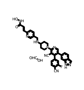 N#Cc1ccc(-c2c(-c3ccc4cn[nH]c4c3)cnc(N3CCC(NCc4ccc(/C=C/C(=O)NO)nc4)CC3)c2C#N)cc1F.O=CO